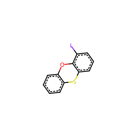 Ic1cccc2c1Oc1ccccc1S2